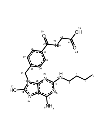 CCCCNc1nc(N)c2nc(O)n(Cc3ccc(C(=O)NCC(=O)O)cc3)c2n1